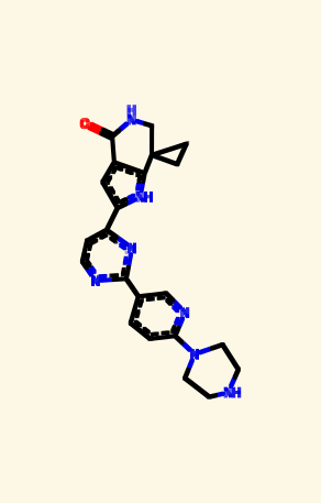 O=C1NCC2(CC2)c2[nH]c(-c3ccnc(-c4ccc(N5CCNCC5)nc4)n3)cc21